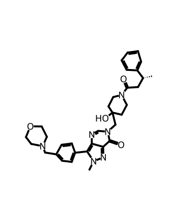 C[C@H](CC(=O)N1CCC(O)(Cn2cnc3c(-c4ccc(CN5CCOCC5)cc4)n(C)nc3c2=O)CC1)c1ccccc1